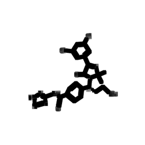 CC(C)(C)CC[C@H](c1ccc(C(=O)Nc2nn[nH]n2)cc1)N1C(=O)C(c2cc(Cl)cc(Cl)c2)=NC1(C)C